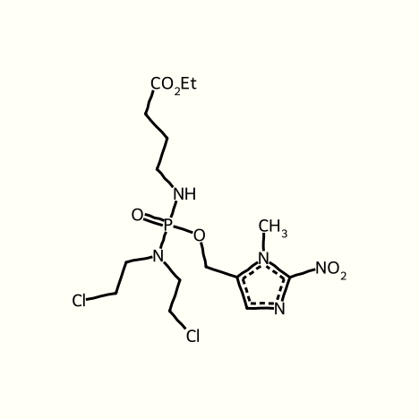 CCOC(=O)CCCNP(=O)(OCc1cnc([N+](=O)[O-])n1C)N(CCCl)CCCl